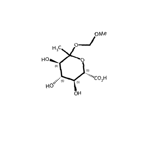 COCOC1(C)O[C@H](C(=O)O)[C@@H](O)[C@H](O)[C@H]1O